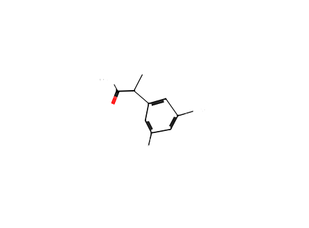 COC(=O)C(C)c1cc(OC)cc(C(F)(F)F)c1